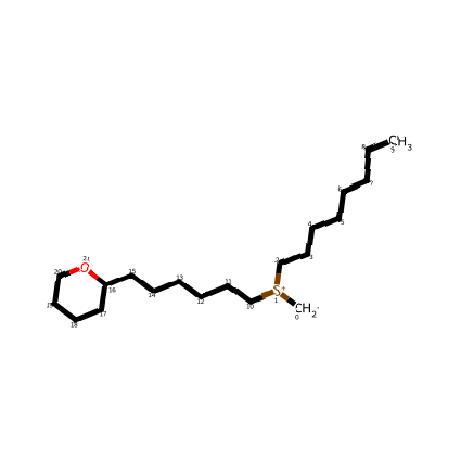 [CH2][S+](CCCCCCCC)CCCCCCC1CCCCO1